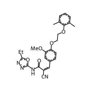 CCc1nnc(NC(=O)C(C#N)=Cc2ccc(OCCOc3c(C)cccc3C)c(OC)c2)o1